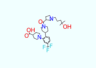 CC(C)(O)CCCN1CCC(C(=O)N2CCC(c3ccc(C(F)(F)F)cc3N3CCC(C(=O)O)CC3)CC2)C1